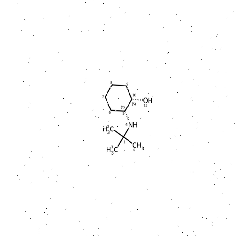 CC(C)(C)N[C@@H]1CCCC[C@@H]1O